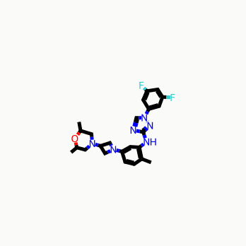 Cc1ccc(N2CC(N3CC(C)OC(C)C3)C2)cc1Nc1ncn(-c2cc(F)cc(F)c2)n1